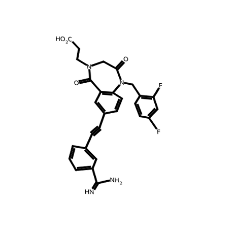 N=C(N)c1cccc(C#Cc2ccc3c(c2)C(=O)N(CCC(=O)O)CC(=O)N3Cc2ccc(F)cc2F)c1